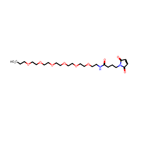 O=C(O)CCOCCOCCOCCOCCOCCOCCNC(=O)CCCN1C(=O)C=CC1=O